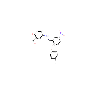 Cc1ccc(Sc2ccc([N+](=O)[O-])cc2CNc2ccc(O)c(CO)c2)cc1